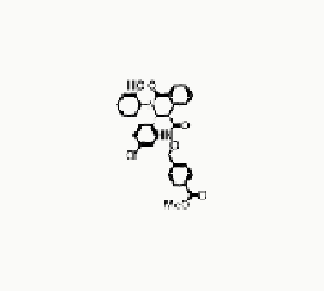 COC(=O)c1ccc(CONC(=O)[C@@H]2c3ccccc3C(=O)N([C@H]3CCCC[C@@H]3O)[C@H]2c2ccc(Cl)cc2)cc1